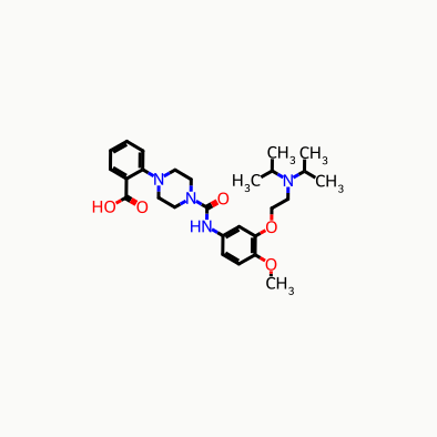 COc1ccc(NC(=O)N2CCN(c3ccccc3C(=O)O)CC2)cc1OCCN(C(C)C)C(C)C